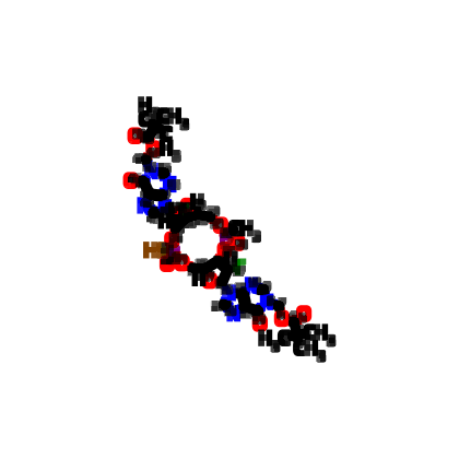 CC(C)(C)C(=O)OCn1cnc2c(ncn2[C@@H]2O[C@@H]3COP(=O)(S)O[C@@H]4[C@@H](F)[C@@H](COP(C)(=O)O[C@H]3[C@H]2F)O[C@H]4n2cnc3c(=O)n(COC(=O)C(C)(C)C)cnc32)c1=O